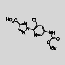 CC(C)(C)OC(=O)Nc1cnc(-n2ncc(C(=O)O)n2)c(Cl)c1